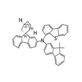 CC1(C)c2ccccc2-c2ccc(N(c3ccc4c(c3)[C@@]3(C[C@H]5CC[C@@H]3C5)c3ccccc3-4)c3cccc4c3sc3ccccc34)cc21